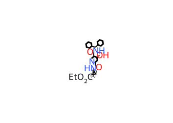 CCOC(=O)[C@H]1C[C@@H]1NC(=O)c1cc(O)c(C(=O)NC(c2ccccc2)c2ccccc2)cn1